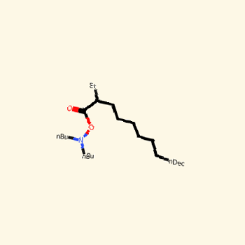 CCCCCCCCCCCCCCCCC(CC)C(=O)ON(CCCC)CCCC